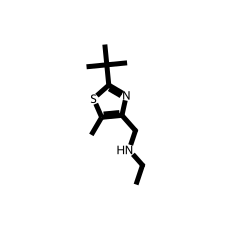 CCNCc1nc(C(C)(C)C)sc1C